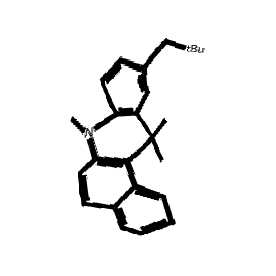 CN1c2ccc(CC(C)(C)C)cc2C(C)(C)c2c1ccc1ccccc21